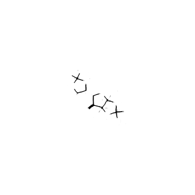 C=C1C([C@@H]2COC(C)(C)O2)O[C@@H]2OC(C)(C)O[C@H]12